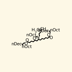 CCCCCCCCCCC(CCCCCCCC)COC(=O)CCCCCC(CCCCCC(=O)OCC(CCCCCCCC)CCCCCCCCCC)N(CCCN(C)C)C(=O)CCCCCCCC